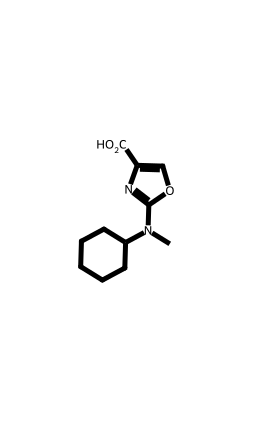 CN(c1nc(C(=O)O)co1)C1CCCCC1